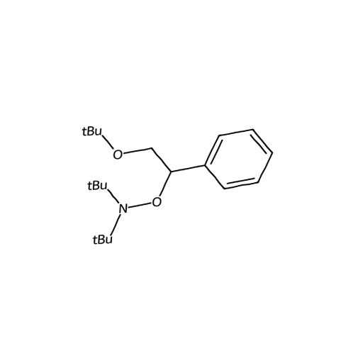 CC(C)(C)OCC(ON(C(C)(C)C)C(C)(C)C)c1ccccc1